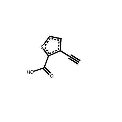 C#Cc1ccsc1C(=O)O